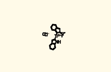 C[Si](C)=C1C=c2ccccc2=[C]1[Ti+2][c]1cc2ccccc2[nH]1.[Cl-].[Cl-]